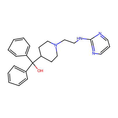 OC(c1ccccc1)(c1ccccc1)C1CCN(CCNc2ncccn2)CC1